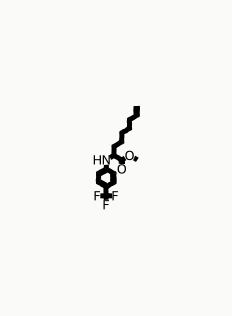 C=CCCCCCC(Nc1ccc(C(F)(F)F)cc1)C(=O)OC